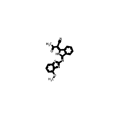 COc1cccc2sc(/N=C3\N/C(=C(/C#N)C(C)=O)c4ccccc43)nc12